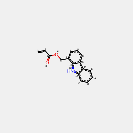 C=CC(=O)OCc1cccc2c1[nH]c1ccccc12